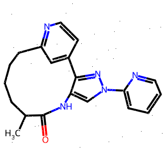 CC1CCCCc2cc(ccn2)-c2nn(-c3ccccn3)cc2NC1=O